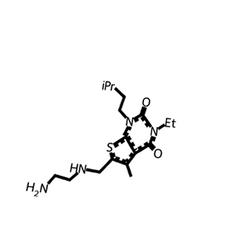 CCn1c(=O)c2c(C)c(CNCCN)sc2n(CCC(C)C)c1=O